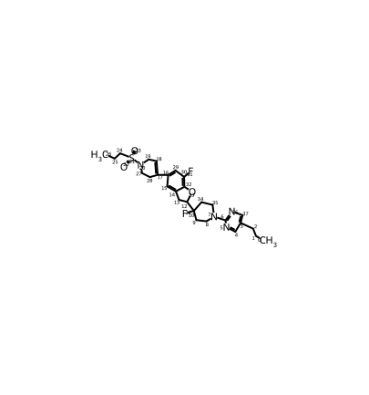 CCCc1cnc(N2CCC(F)(C3Cc4cc(C5=CCN(S(=O)(=O)CCC)CC5)cc(F)c4O3)CC2)nc1